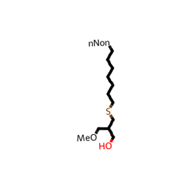 CCCCCCCCCCCCCCCCSCC(CO)COC